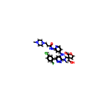 CN1CCN(CCC(=O)Nc2cc(Nc3cc(-c4cc(Cl)ccc4F)nnc3N(C)CC3(CO)CCOC3=O)ccn2)CC1